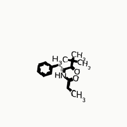 CCC(=O)N[C@H](Cc1ccccc1)C(=O)C(C)(C)C